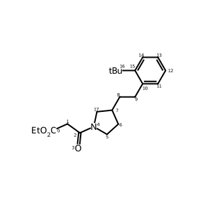 CCOC(=O)CC(=O)N1CCC(CCc2ccccc2C(C)(C)C)C1